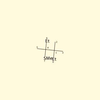 CCC(C)(C)C(C)(CC)SC